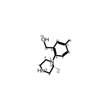 Cc1ccc(N2CCNC[C@H]2C)c(CO)c1